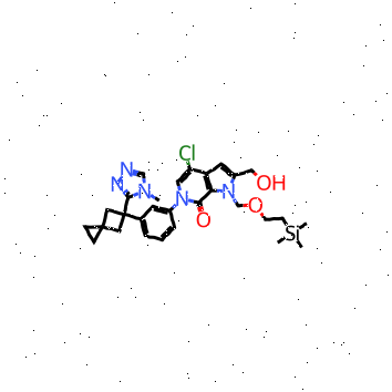 Cn1cnnc1C1(c2cccc(-n3cc(Cl)c4cc(CO)n(COCC[Si](C)(C)C)c4c3=O)c2)CC2(CC2)C1